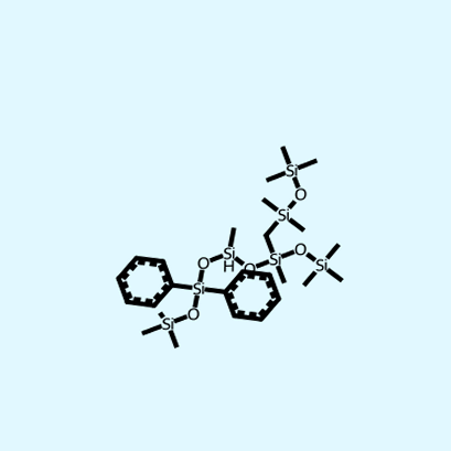 C[SiH](O[Si](C)(C[Si](C)(C)O[Si](C)(C)C)O[Si](C)(C)C)O[Si](O[Si](C)(C)C)(c1ccccc1)c1ccccc1